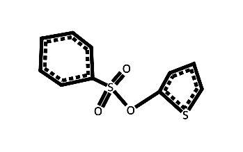 O=S(=O)(Oc1cccs1)c1ccccc1